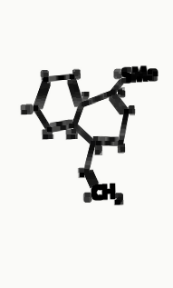 C=Cc1ccc(SC)c2ccccc12